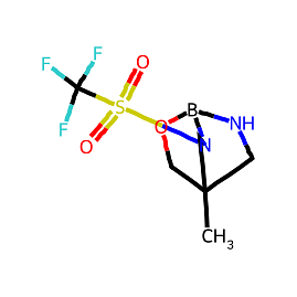 CC12CNB(OC1)N(S(=O)(=O)C(F)(F)F)C2